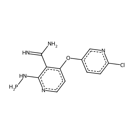 N=C(N)c1c(Oc2ccc(Cl)nc2)ccnc1NP